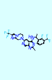 Cc1nc(NC(C)c2cccc(C(F)F)c2F)c2cc(N3CCn4cc(C(F)(F)F)nc4C3)ncc2n1